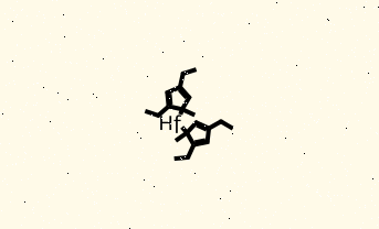 CCC1=C[C](C)([Hf][C]2(C)C=C(CC)C=C2CC)C(CC)=C1